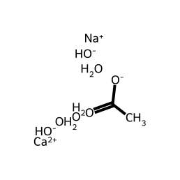 CC(=O)[O-].O.O.O.[Ca+2].[Na+].[OH-].[OH-]